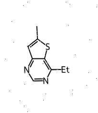 CCc1ncnc2cc(C)sc12